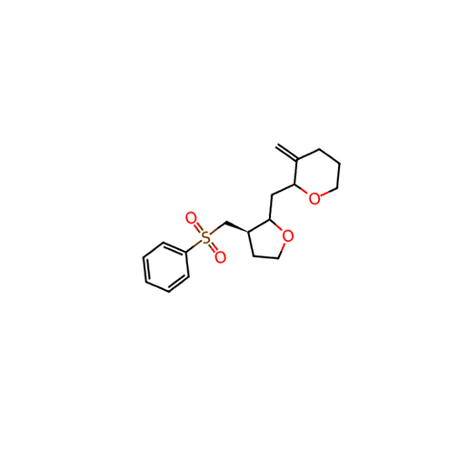 C=C1CCCOC1CC1OCC[C@H]1CS(=O)(=O)c1ccccc1